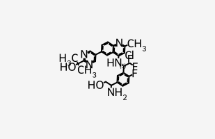 Cc1nc2ccc(-c3cnc(C(C)(C)O)nc3)cc2c(N[C@@H](c2cc(C(N)CO)ccc2F)C(F)F)c1Cl